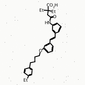 CCc1ccc(CCCCOc2cccc(C=Cc3cccc(NC(=O)CC(CC)(CC)C(=O)O)c3)c2)cc1